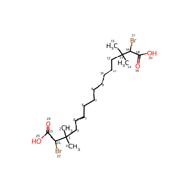 CC(C)(CCCCCCCCCCC(C)(C)C(Br)C(=O)O)C(Br)C(=O)O